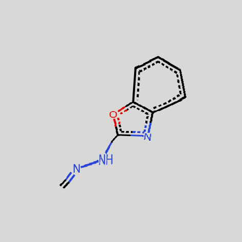 C=NNc1nc2ccccc2o1